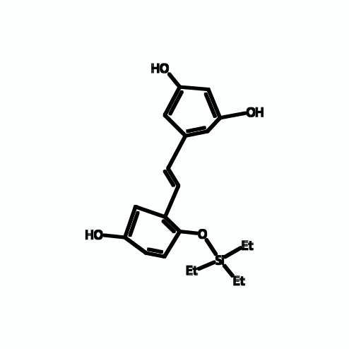 CC[Si](CC)(CC)Oc1ccc(O)cc1C=Cc1cc(O)cc(O)c1